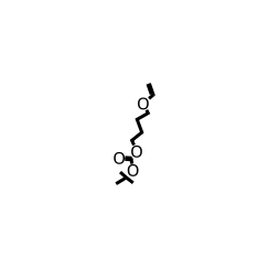 C=COCCCCOC(=O)OC(C)(C)C